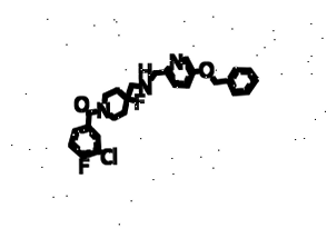 O=C(c1ccc(F)c(Cl)c1)N1CCC(F)(CNCc2ccc(OCc3ccccc3)cn2)CC1